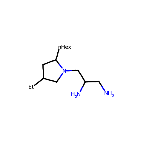 CCCCCCC1CC(CC)CN1CC(N)CN